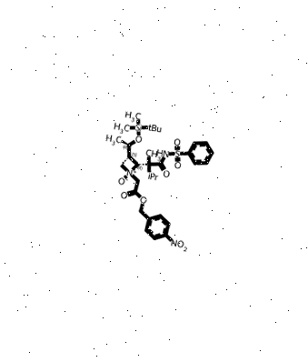 CC(C)C(C)(C(=O)NS(=O)(=O)c1ccccc1)[C@H]1[C@@H]([C@@H](C)O[Si](C)(C)C(C)(C)C)C[N+]1([O-])CC(=O)OCc1ccc([N+](=O)[O-])cc1